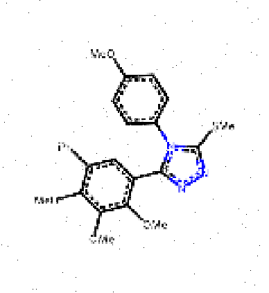 COc1ccc(-n2c(SC)nnc2-c2cc(C(C)C)c(OC)c(OC)c2OC)cc1